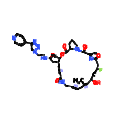 CC1=C\C(O)CC(F)Cc2nc(co2)C(=O)N2CCCC2C(=O)OC(C(C)C)C(CC(=O)NCCn2cc(-c3ccncc3)nn2)/C=C/C(=O)NC\C=C\1